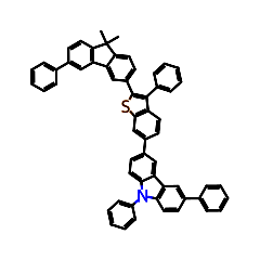 CC1(C)c2ccc(-c3ccccc3)cc2-c2cc(-c3sc4cc(-c5ccc6c(c5)c5cc(-c7ccccc7)ccc5n6-c5ccccc5)ccc4c3-c3ccccc3)ccc21